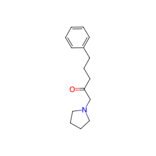 O=C(CCCc1ccccc1)CN1CCCC1